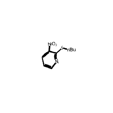 CCCCSc1ncccc1[N+](=O)[O-]